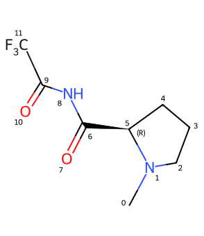 CN1CCC[C@@H]1C(=O)NC(=O)C(F)(F)F